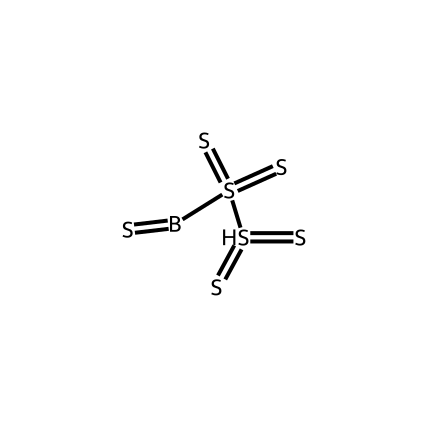 S=BS(=S)(=S)[SH](=S)=S